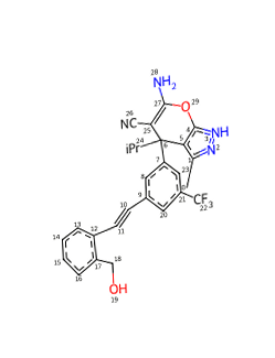 Cc1n[nH]c2c1C(c1cc(C#Cc3ccccc3CO)cc(C(F)(F)F)c1)(C(C)C)C(C#N)=C(N)O2